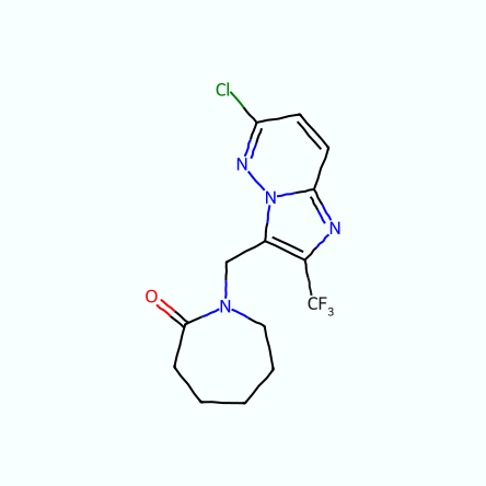 O=C1CCCCCN1Cc1c(C(F)(F)F)nc2ccc(Cl)nn12